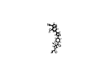 C=CC(=O)N1CC(OC)(C(=O)N2CCC(n3cc(-c4cc(OC)c5c(C#N)cnn5c4)cn3)CC2)C1